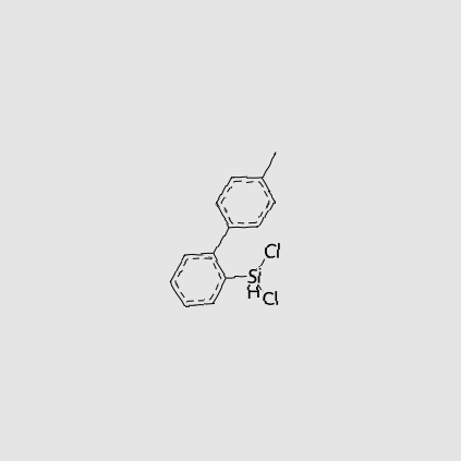 Cc1ccc(-c2ccccc2[SiH](Cl)Cl)cc1